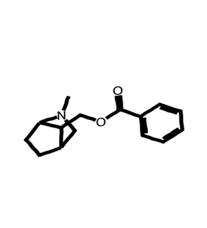 CN1CC2CCC1C2COC(=O)c1ccccc1